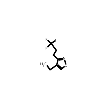 CCc1conc1CCC(F)(F)F